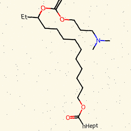 C=C(OCCCN(C)C)OC(CC)CCCCCCCCCCOC(=O)CCCCCCC